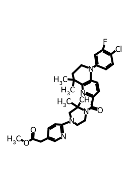 COC(=O)Cc1ccc(N2CCN(C(=O)c3ccc4c(n3)C(C)(C)CCN4c3ccc(Cl)c(F)c3)C(C)(C)C2)nc1